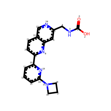 O=C(O)NCc1cc2nc(-c3cccc(N4CCC4)n3)ccc2cn1